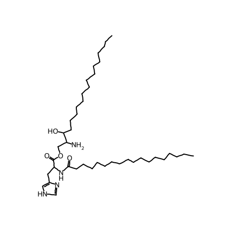 CCCCCCCCCCCCCCCCCC(=O)NC(Cc1c[nH]cn1)C(=O)OCC(N)C(O)CCCCCCCCCCCCCCC